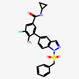 Cc1c(F)cc(C(=O)NC2CC2)cc1-c1ccc2c(cnn2S(=O)(=O)Cc2ccccc2)c1